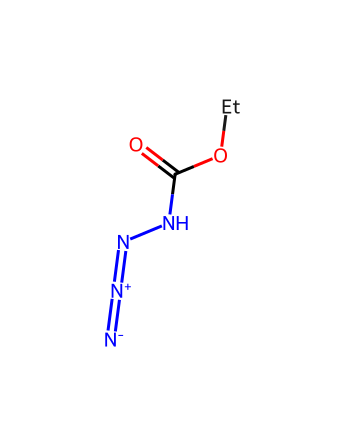 CCOC(=O)NN=[N+]=[N-]